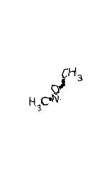 CCO[N]C